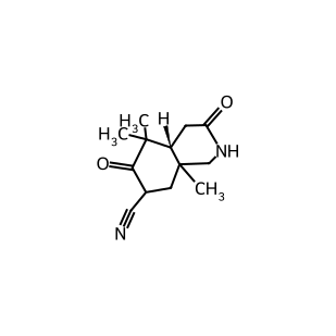 CC12CNC(=O)C[C@H]1C(C)(C)C(=O)C(C#N)C2